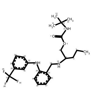 CCCC(COC(=O)NC(C)(C)C)NCc1ccccc1Nc1cccc(C(F)(F)F)c1